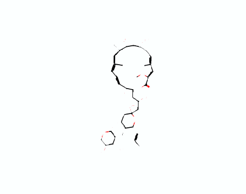 C/C=C/[C@H]1O[C@@](O)([C@@H](C)[C@H](O)[C@H](C)[C@H]2OC(=O)/C(OC)=C/C(C)=C/[C@@H](C)[C@@H](O)C[C@@H](O)[C@H](C)C/C(C)=C/C=C/[C@@H]2O)C[C@@H](O[C@@H]2C[C@H](O)[C@@H](O)[C@H](C)O2)[C@@H]1C